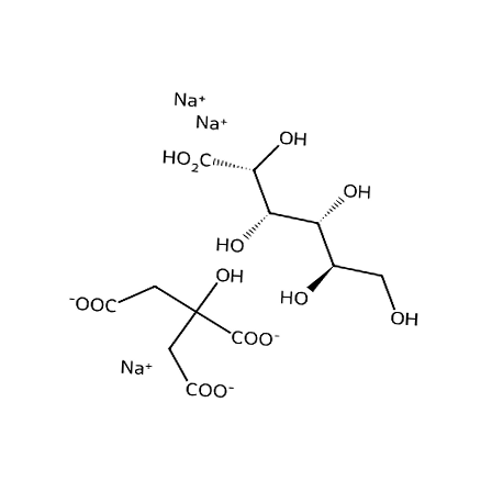 O=C(O)[C@H](O)[C@@H](O)[C@H](O)[C@H](O)CO.O=C([O-])CC(O)(CC(=O)[O-])C(=O)[O-].[Na+].[Na+].[Na+]